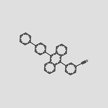 N#Cc1cccc(-c2c3ccccc3c(-c3ccc(-c4ccccc4)cc3)c3ccccc23)c1